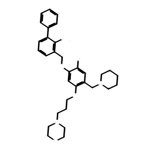 Cc1c(COc2cc(OCCCN3CCNCC3)c(CN3CCCCC3)cc2Br)cccc1-c1ccccc1